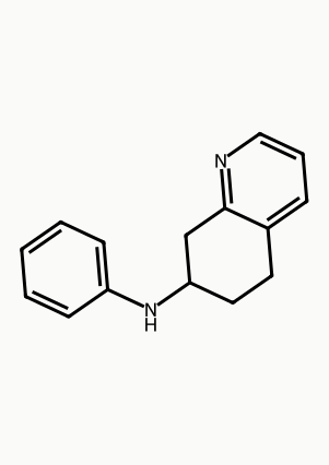 c1ccc(NC2CCc3cccnc3C2)cc1